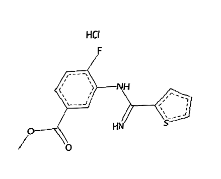 COC(=O)c1ccc(F)c(NC(=N)c2cccs2)c1.Cl